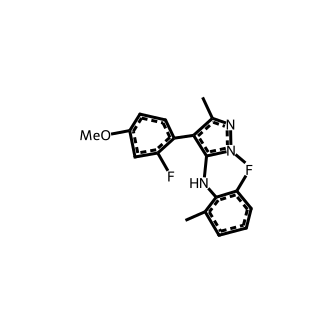 COc1ccc(-c2c(C)nn(C)c2Nc2c(C)cccc2F)c(F)c1